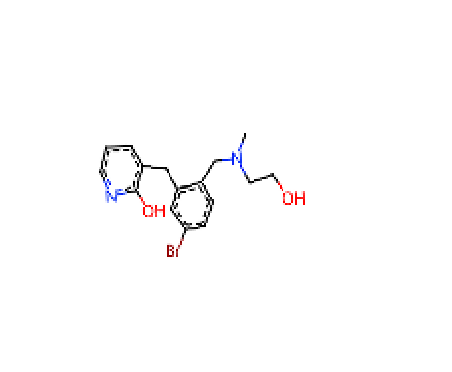 CN(CCO)Cc1ccc(Br)cc1Cc1cccnc1O